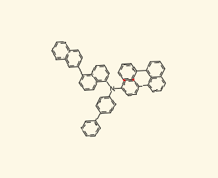 c1ccc(-c2ccc(N(c3ccc(-c4cccc5cccc(-c6ccccc6)c45)cc3)c3cccc4c(-c5ccc6ccccc6c5)cccc34)cc2)cc1